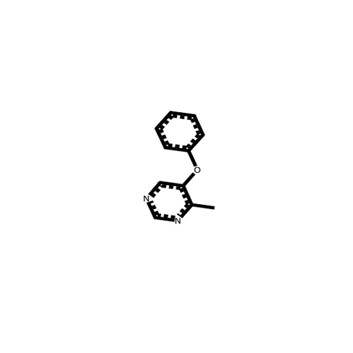 Cc1ncn[c]c1Oc1ccccc1